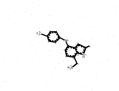 Cc1cc2c(Nc3ccc(C(F)(F)F)cc3)ccc(CN)c2[nH]1